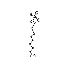 CC(C)CCCCCCCCOS(C)(=O)=O